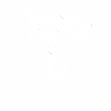 O=C(O)CC1CCC(NC(=O)C(C2C3CCC2CC3)n2c(-c3ccc(Cl)cc3)nc3cc(F)c(F)cc32)CC1